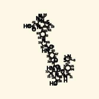 Cc1ncsc1-c1ccc(C(C)NC(=O)[C@@H]2C[C@@H](O)CN2C(=O)C(NC(=O)c2cc3cc(NC(=O)[C@H]4CCN(c5ccc(C6=N[C@@H](CC(=O)O)c7nnc(C)n7-c7sc(C)c(C)c76)cc5)C4)ccc3o2)C(C)(C)C)cc1